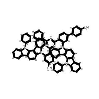 N#Cc1ccc(-c2ccc(-c3nc(-c4ccccc4)nc(-c4ccc(C#N)cc4-n4c5ccccc5c5c4ccc4c6ccccc6n(-c6ccccc6)c45)n3)c(-n3c4ccccc4c4c3ccc3c5ccccc5n(-c5ccccc5)c34)c2)cc1